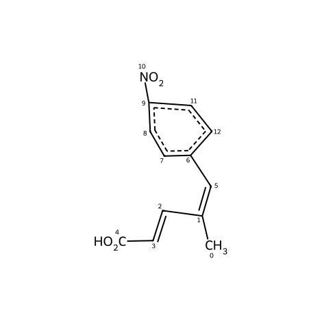 CC(C=CC(=O)O)=Cc1ccc([N+](=O)[O-])cc1